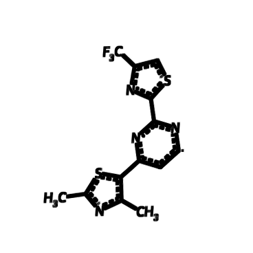 Cc1nc(C)c(-c2c[c]nc(-c3nc(C(F)(F)F)cs3)n2)s1